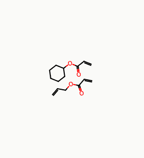 C=CC(=O)OC1CCCCC1.C=CCOC(=O)C=C